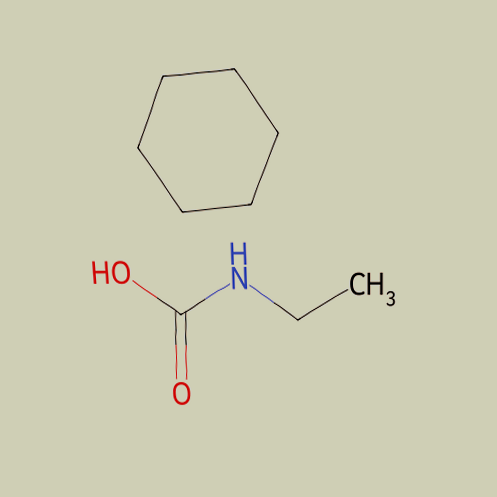 C1CCCCC1.CCNC(=O)O